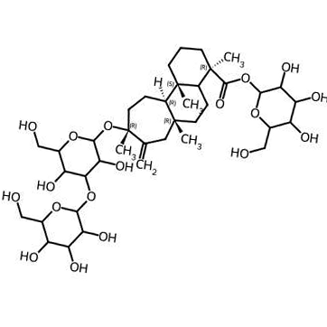 C=C1C[C@@]2(C)CCC3[C@](C)(C(=O)OC4OC(CO)C(O)C(O)C4O)CCC[C@@]3(C)[C@@H]2CC[C@@]1(C)OC1OC(CO)C(O)C(OC2OC(CO)C(O)C(O)C2O)C1O